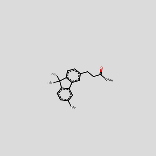 CCCCC1(CCCC)c2ccc(CCC)cc2-c2cc(CCC(=O)OC)ccc21